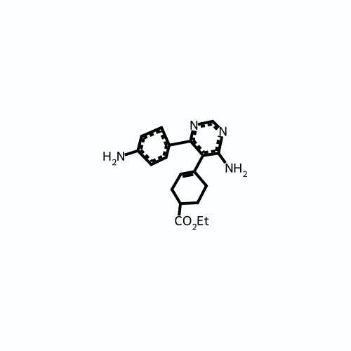 CCOC(=O)C1CC=C(c2c(N)ncnc2-c2ccc(N)cc2)CC1